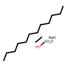 CC.CCCCCCCCCCCC.O=S(=O)(O)O.[NaH]